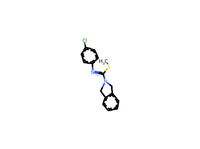 CS/C(=N\c1ccc(Cl)cc1)N1Cc2ccccc2C1